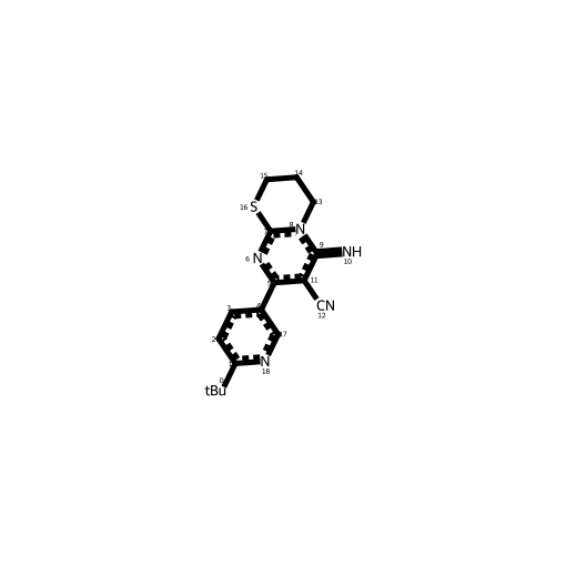 CC(C)(C)c1ccc(-c2nc3n(c(=N)c2C#N)CCCS3)cn1